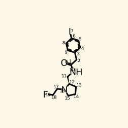 O=C(Cc1ccc(I)cc1)NC[C@H]1CCCN1CCF